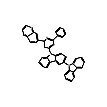 c1ccc(C2=NC(c3ccc4cccnc4c3)CC(n3c4ccccc4c4cc(-n5c6ccccc6c6ccccc65)ccc43)=N2)cc1